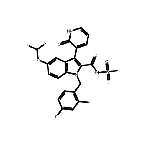 CS(=O)(=O)NC(=O)c1c(-c2ccc[nH]c2=O)c2cc(OC(F)F)ccc2n1Cc1ccc(F)cc1F